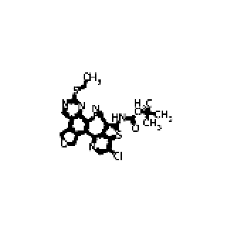 CCSc1ncc2c3c(c(-c4ncc(Cl)c5sc(NC(=O)OC(C)(C)C)c(C#N)c45)c(F)c2n1)COC3